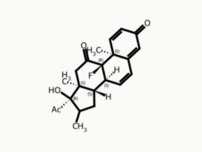 CC(=O)[C@@]1(O)C(C)C[C@H]2[C@@H]3C=CC4=CC(=O)C=C[C@]4(C)[C@@]3(F)C(=O)C[C@@]21C